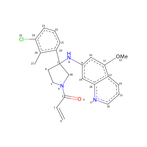 C=CC(=O)N1CCC(Nc2cc(OC)c3cccnc3c2)(c2cccc(Cl)c2C)C1